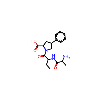 CCC(NC(=O)C(C)N)C(=O)N1CC(c2ccccc2)CC1C(=O)O